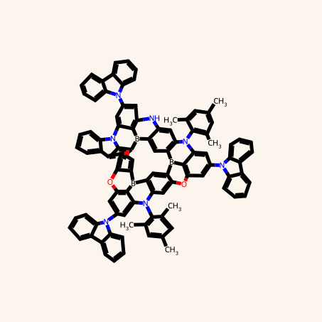 Cc1cc(C)c(N2c3cc4c(cc3B3c5cc6c(cc5Oc5cc(-n7c8ccccc8c8ccccc87)cc2c53)N(c2c(C)cc(C)cc2C)c2cc(-n3c5ccccc5c5ccccc53)cc3c2B6c2ccccc2O3)B2c3c(cc(-n5c6ccccc6c6ccccc65)cc3-n3c5ccccc5c5cccc2c53)N4)c(C)c1